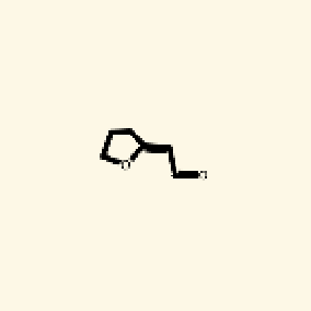 O=[C]C=C1CCCO1